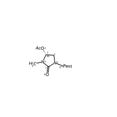 CCCCCN1C[C@@H](OC(C)=O)N(C)C1=O